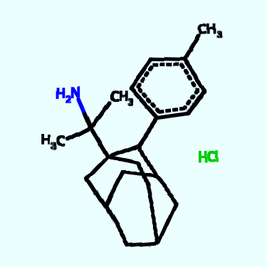 Cc1ccc(C2C3CC4CC(C3)CC2(C(C)(C)N)C4)cc1.Cl